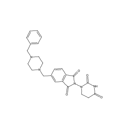 O=C1CCN(N2C(=O)c3ccc(CN4CCN(Cc5ccccc5)CC4)cc3C2=O)C(=O)N1